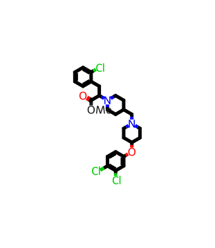 COC(=O)C(Cc1ccccc1Cl)N1CCC(CN2CCC(Oc3ccc(Cl)c(Cl)c3)CC2)CC1